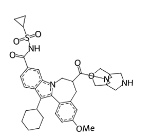 COc1ccc2c(c1)CC(C(=O)N1CC34CNCC3(COC4)C1)Cn1c-2c(C2CCCCC2)c2ccc(C(=O)NS(=O)(=O)C3CC3)cc21